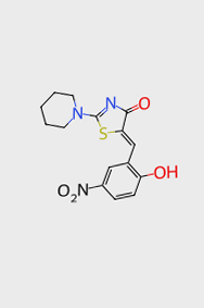 O=C1N=C(N2CCCCC2)SC1=Cc1cc([N+](=O)[O-])ccc1O